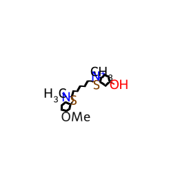 COc1ccc2c(c1)S\C(=C/C=C/C=C/c1sc3cc(O)ccc3[n+]1C)N2C